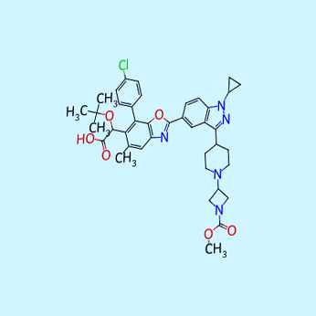 COC(=O)N1CC(N2CCC(c3nn(C4CC4)c4ccc(-c5nc6cc(C)c(C(OC(C)(C)C)C(=O)O)c(-c7ccc(Cl)cc7)c6o5)cc34)CC2)C1